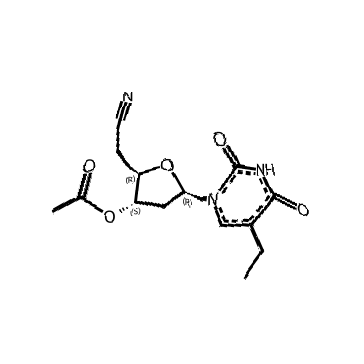 CCc1cn([C@H]2C[C@H](OC(C)=O)[C@@H](CC#N)O2)c(=O)[nH]c1=O